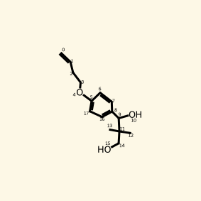 C=CCCOc1ccc(C(O)C(C)(C)CO)cc1